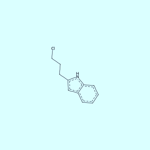 ClCCCc1cc2ccccc2[nH]1